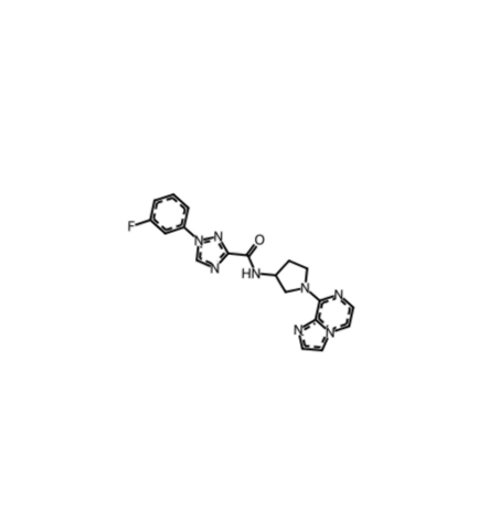 O=C(NC1CCN(c2nccn3ccnc23)C1)c1ncn(-c2cccc(F)c2)n1